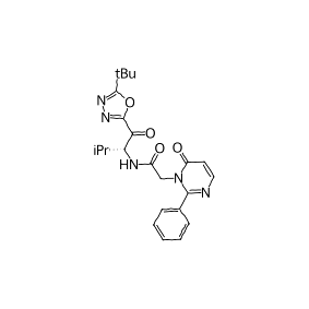 CC(C)[C@@H](NC(=O)Cn1c(-c2ccccc2)nccc1=O)C(=O)c1nnc(C(C)(C)C)o1